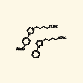 CCCCCCCCCCCCCCN1C=CN(c2ccc(OC)cc2)C1.CCCCCCCCCCCCCC[n+]1ccn(-c2ccccc2)c1